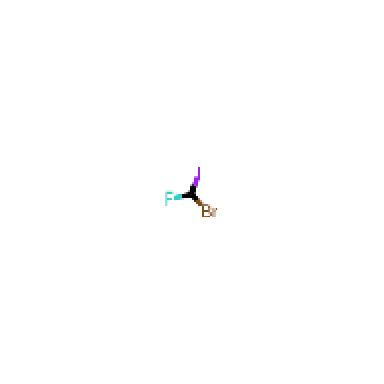 FC(Br)I